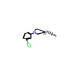 CN[C@H]1CCN(c2cccc(Cl)c2)C1